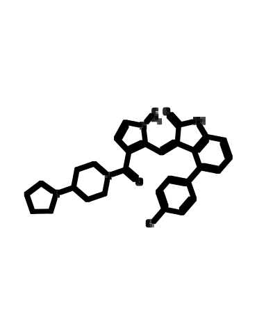 Cn1ccc(C(=O)N2CCC(N3CCCC3)CC2)c1/C=C1\C(=O)Nc2cccc(-c3ccc(Cl)cc3)c21